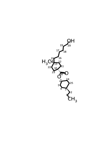 CCC[C@H]1CC[C@H](OC(=O)[C@H]2CC[C@@](C)(CCCCCCO)CC2)CC1